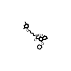 Cc1ccc(OCCCCNC(=O)c2cc(OC3CCCCC3)c3ccccc3c2O)c(C)c1